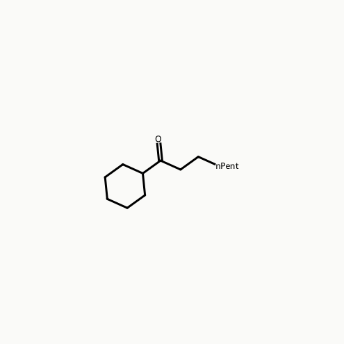 CCCCCCCC(=O)C1CCCCC1